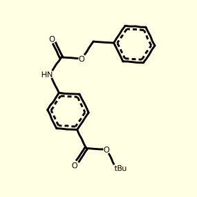 CC(C)(C)OC(=O)c1ccc(NC(=O)OCc2ccccc2)cc1